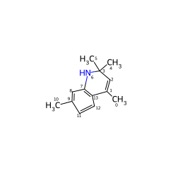 CC1=CC(C)(C)Nc2cc(C)ccc21